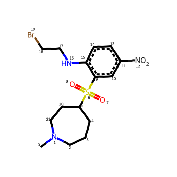 CN1CCCC(S(=O)(=O)c2cc([N+](=O)[O-])ccc2NCCBr)CC1